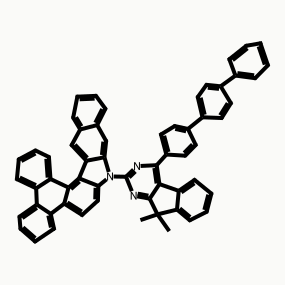 CC1(C)c2ccccc2-c2c(-c3ccc(-c4ccc(-c5ccccc5)cc4)cc3)nc(-n3c4cc5ccccc5cc4c4c5c6ccccc6c6ccccc6c5ccc43)nc21